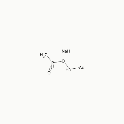 CC(=O)NO[PH](C)=O.[NaH]